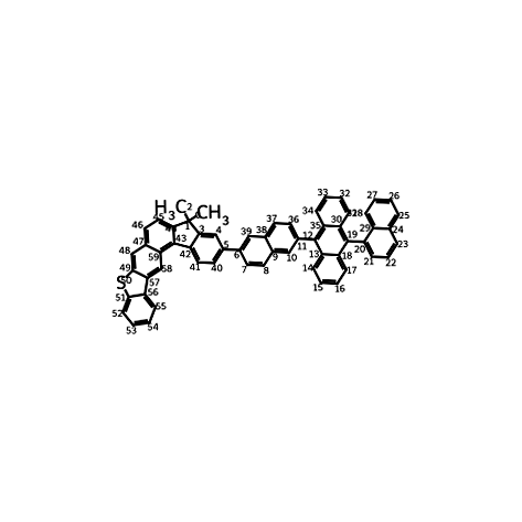 CC1(C)c2cc(-c3ccc4cc(-c5c6ccccc6c(-c6cccc7ccccc67)c6ccccc56)ccc4c3)ccc2-c2c1ccc1cc3sc4ccccc4c3cc21